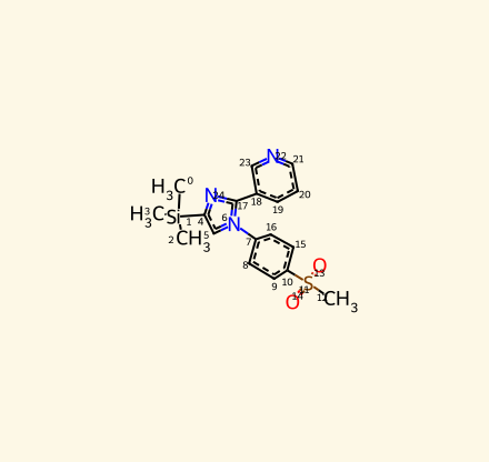 C[Si](C)(C)c1cn(-c2ccc(S(C)(=O)=O)cc2)c(-c2cccnc2)n1